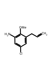 C=CCc1cc(Cl)cc(N)c1OC